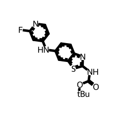 CC(C)(C)OC(=O)Nc1nc2ccc(Nc3ccnc(F)c3)cc2s1